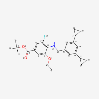 CCOc1cc(C(=O)OC(C)(C)C)cc(F)c1NCc1cc(C2CC2)cc(C2CC2)c1